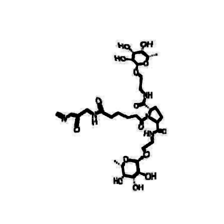 C=NCC(=O)CNC(=O)CCCCC(=O)N1C(C(=O)NCCO[C@@H]2O[C@@H](C)[C@@H](O)[C@@H](O)[C@@H]2O)CC[C@H]1C(=O)NCCO[C@@H]1O[C@@H](C)[C@@H](O)[C@@H](O)[C@@H]1O